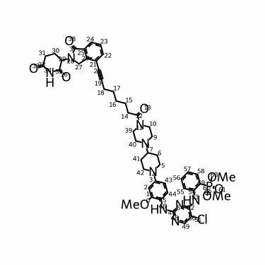 COc1cc(N2CCC(N3CCN(C(=O)CCCCCC#Cc4cccc5c4CN(C4CCC(=O)NC4=O)C5=O)CC3)CC2)ccc1Nc1ncc(Cl)c(Nc2ccccc2P(=O)(OC)OC)n1